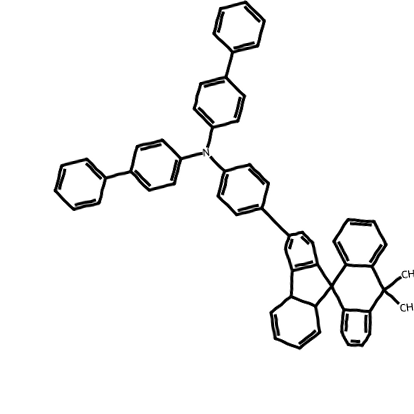 CC1(C)c2ccccc2C2(c3ccc(-c4ccc(N(c5ccc(-c6ccccc6)cc5)c5ccc(-c6ccccc6)cc5)cc4)cc3C3C=CC=CC32)c2ccccc21